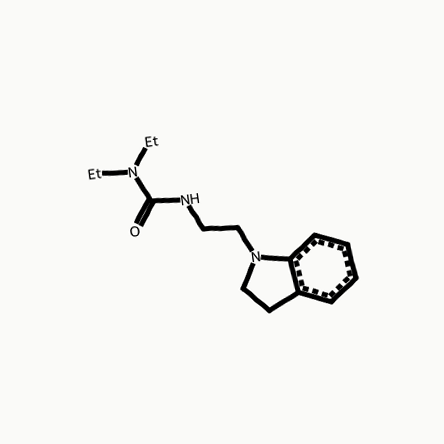 CCN(CC)C(=O)NCCN1CCc2ccccc21